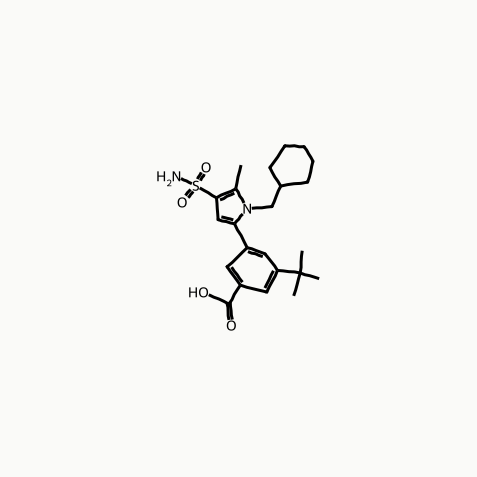 Cc1c(S(N)(=O)=O)cc(-c2cc(C(=O)O)cc(C(C)(C)C)c2)n1CC1CCCCC1